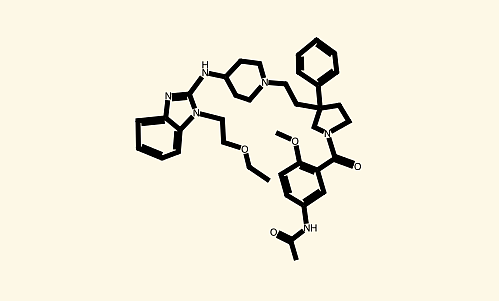 CCOCCn1c(NC2CCN(CCC3(c4ccccc4)CCN(C(=O)c4cc(NC(C)=O)ccc4OC)C3)CC2)nc2ccccc21